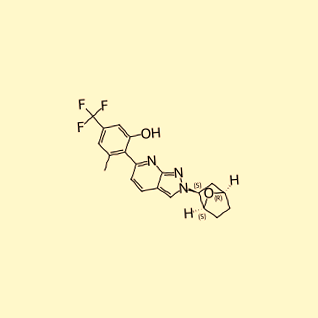 Cc1cc(C(F)(F)F)cc(O)c1-c1ccc2cn([C@H]3C[C@H]4CC[C@@H]3O4)nc2n1